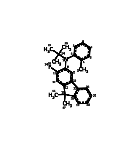 Cc1ccccc1N(c1cc2c(cc1F)C(C)(C)c1ccccc1-2)C(C)(C)C